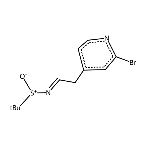 CC(C)(C)[S+]([O-])/N=C/Cc1ccnc(Br)c1